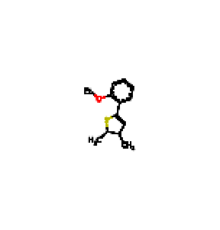 CCOc1ccccc1C1=CC(C)C(C)S1